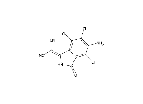 N#CC(C#N)=C1NC(=O)c2c(Cl)c(N)c(Cl)c(Cl)c21